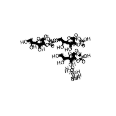 O.O.O=C1O[C@H]([C@@H](O)CO)C(O)=C1OP(=O)(O)O.O=C1O[C@H]([C@@H](O)CO)C(O)=C1OP(=O)(O)O.O=C1O[C@H]([C@@H](O)CO)C(O)=C1OP(=O)(O)O.[NaH].[NaH].[NaH]